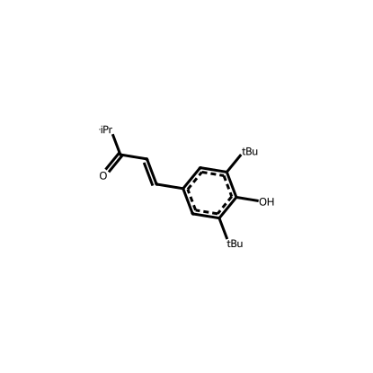 C[C](C)C(=O)C=Cc1cc(C(C)(C)C)c(O)c(C(C)(C)C)c1